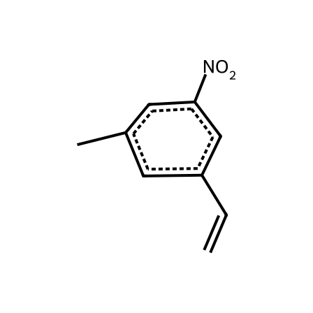 C=Cc1cc(C)cc([N+](=O)[O-])c1